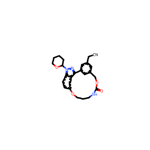 N#CCc1cc2cc(c1)-c1nn(C3CCCCO3)c3ccc(cc13)OCCCNC(=O)OC2